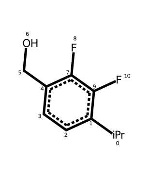 CC(C)c1ccc(CO)c(F)c1F